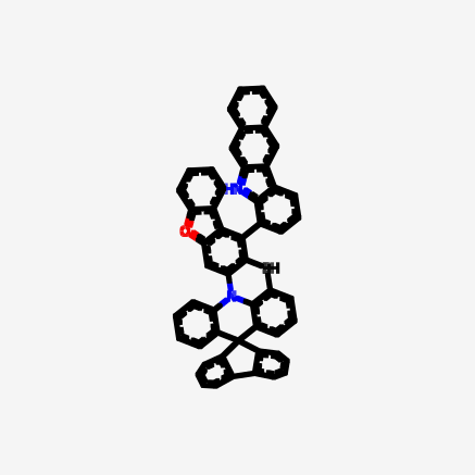 B1c2cccc3c2N(c2ccccc2C32c3ccccc3-c3ccccc32)c2cc3oc4ccccc4c3c(-c3cccc4c3[nH]c3cc5ccccc5cc34)c21